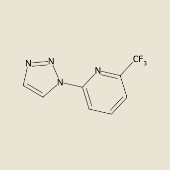 FC(F)(F)c1cccc(-n2ccnn2)n1